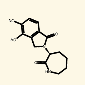 N#Cc1ccc2c(c1O)CN([C@H]1CCCCNC1=O)C2=O